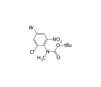 CN(C(=O)OC(C)(C)C)c1c(Cl)cc(Br)cc1[N+](=O)[O-]